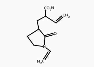 C=CC(CC1CCN(C=C)C1=O)C(=O)O